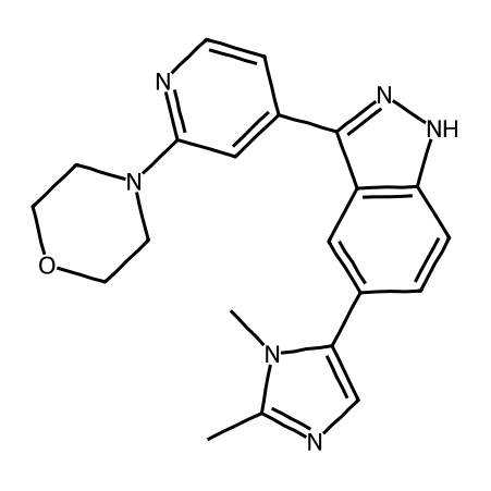 Cc1ncc(-c2ccc3[nH]nc(-c4ccnc(N5CCOCC5)c4)c3c2)n1C